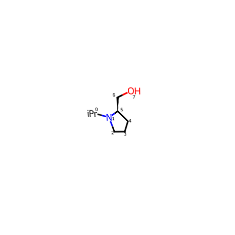 CC(C)N1CCC[C@@H]1CO